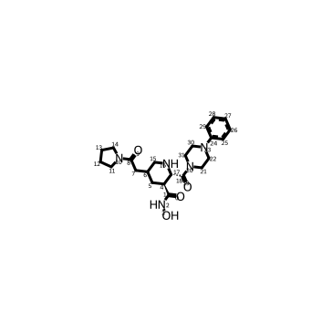 O=C(NO)[C@H]1CC(CC(=O)N2CCCC2)CN[C@@H]1C(=O)N1CCN(c2ccccc2)CC1